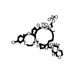 CO[C@@]1(CN2CCN3CCOC[C@@H]3C2)/C=C/C[C@H](C)[C@@H](CCOS(C)(=O)=O)S(=O)(=O)NC(=O)c2ccc3c(c2)N(CCCCC2C=C(Cl)C=CC2(C)CO3)C[C@@H]2CC[C@H]21